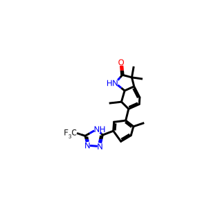 Cc1ccc(-c2nnc(C(F)(F)F)[nH]2)cc1C1=CC=C2C(NC(=O)C2(C)C)C1C